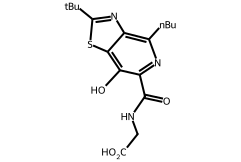 CCCCc1nc(C(=O)NCC(=O)O)c(O)c2sc(C(C)(C)C)nc12